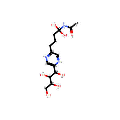 CCCC(=O)NC(O)(O)CCCc1cnc(C(O)C(O)C(O)CO)cn1